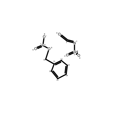 O=C=N[SH](=O)=O.O=[N+]([O-])OCc1ccccc1